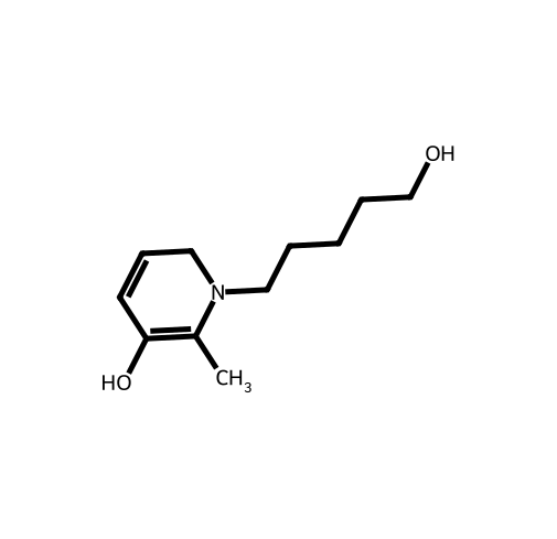 CC1=C(O)C=CCN1CCCCCO